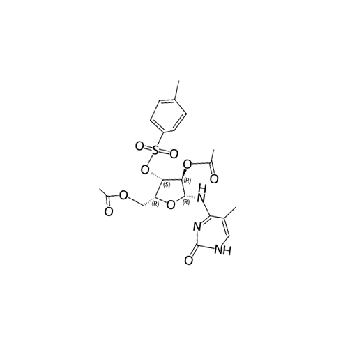 CC(=O)OC[C@H]1O[C@@H](Nc2nc(=O)[nH]cc2C)[C@H](OC(C)=O)[C@H]1OS(=O)(=O)c1ccc(C)cc1